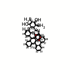 Bc1c(O)c(B)c(-c2nc3ccccc3n2-c2ccccc2-c2c3ccccc3c(-c3ccccc3-c3ccccc3)c3ccccc23)c(B)c1O